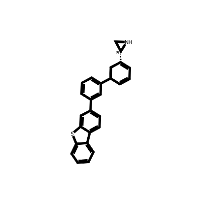 C1=CC(c2cccc(-c3ccc4c(c3)sc3ccccc34)c2)CC([C@@H]2CN2)=C1